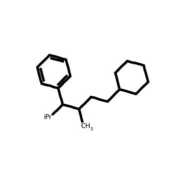 CC(C)C(c1ccccc1)C(C)CCC1CCCCC1